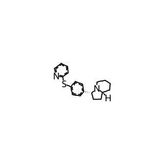 c1ccc(Sc2ccc([C@H]3CC[C@H]4CCCCN43)cc2)nc1